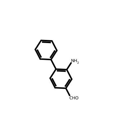 Nc1cc(C=O)ccc1-c1ccccc1